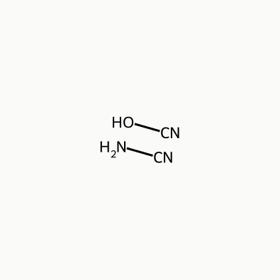 N#CN.N#CO